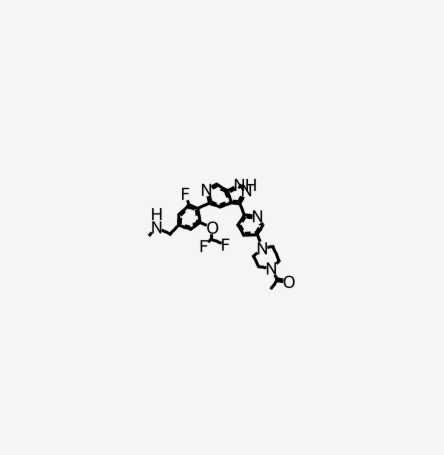 CNCc1cc(F)c(-c2cc3c(-c4ccc(N5CCN(C(C)=O)CC5)cn4)n[nH]c3cn2)c(OC(F)F)c1